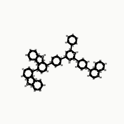 c1ccc(-c2cc(-c3ccc(-c4ccc(-c5cccc6oc7ccccc7c56)c5c4oc4ccccc45)cc3)nc(-c3ccc(-c4ccnc5ccccc45)cc3)n2)cc1